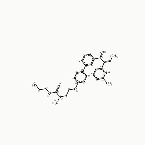 C/C=C(\C(=N)c1ccnc(-c2ccc(OCCN(C)C(=O)OCCS)cc2)c1)c1cccc(C)n1